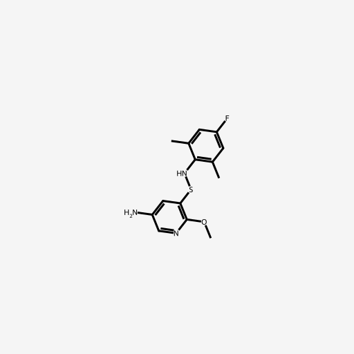 COc1ncc(N)cc1SNc1c(C)cc(F)cc1C